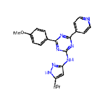 CCCc1cc(Nc2nc(-c3ccncc3)nc(-c3ccc(OC)cc3)n2)n[nH]1